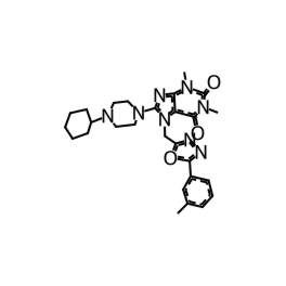 Cc1cccc(-c2nnc(Cn3c(N4CCN(C5CCCCC5)CC4)nc4c3c(=O)n(C)c(=O)n4C)o2)c1